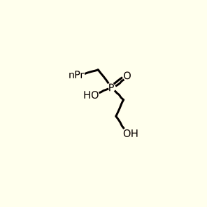 CCCCP(=O)(O)CCO